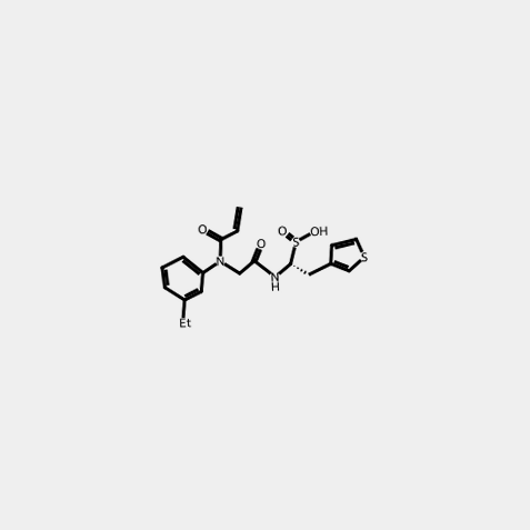 C=CC(=O)N(CC(=O)N[C@@H](Cc1ccsc1)S(=O)O)c1cccc(CC)c1